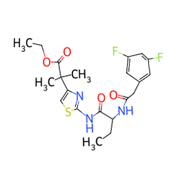 CCOC(=O)C(C)(C)c1csc(NC(=O)C(CC)NC(=O)Cc2cc(F)cc(F)c2)n1